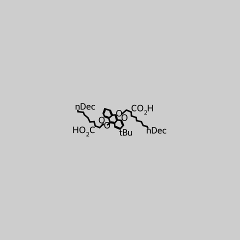 CCCCCCCCCCCCCCCCC(CC(=O)Oc1c2ccccc2c(OC(=O)CC(CCCCCCCCCCCCCCCC)C(=O)O)c2cc(C(C)(C)C)ccc12)C(=O)O